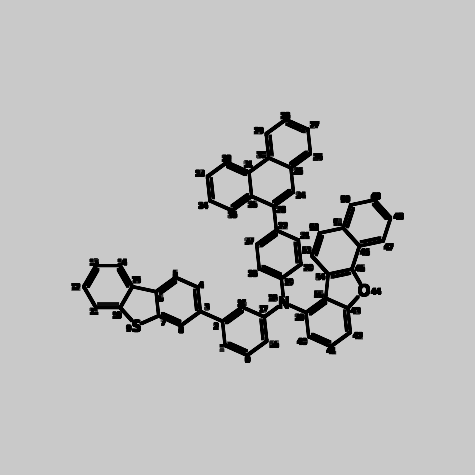 c1cc(-c2ccc3c(c2)sc2ccccc23)cc(N(c2ccc(-c3cc4ccccc4c4ccccc34)cc2)c2cccc3oc4c5ccccc5ccc4c23)c1